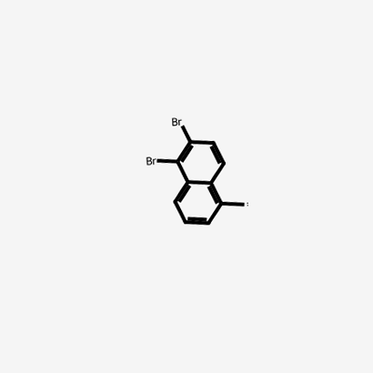 [CH]c1cccc2c(Br)c(Br)ccc12